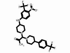 CC(=O)C(N1CCC(Nc2ccc([N+](=O)[O-])c(C(F)(F)F)c2)CC1)N1CCC(c2ccc(C(F)(F)F)cc2)CC1